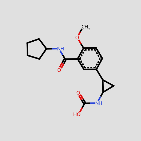 COc1ccc(C2CC2NC(=O)O)cc1C(=O)NC1CCCC1